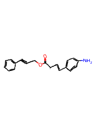 Nc1ccc(C=C[CH]C(=O)OCC=Cc2ccccc2)cc1